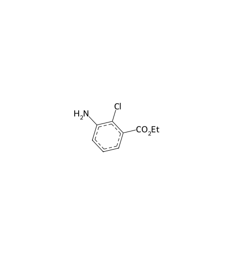 CCOC(=O)c1cccc(N)c1Cl